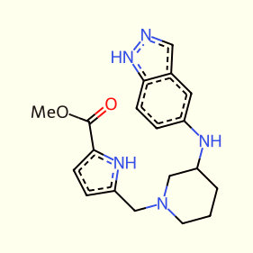 COC(=O)c1ccc(CN2CCCC(Nc3ccc4[nH]ncc4c3)C2)[nH]1